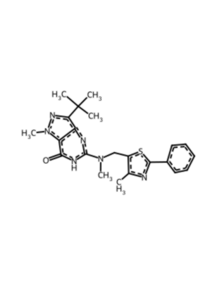 Cc1nc(-c2ccccc2)sc1CN(C)c1nc2c(C(C)(C)C)nn(C)c2c(=O)[nH]1